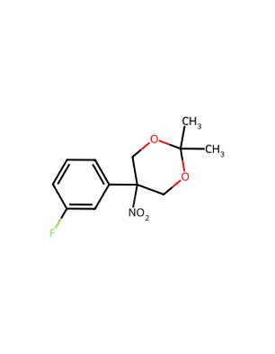 CC1(C)OCC(c2cccc(F)c2)([N+](=O)[O-])CO1